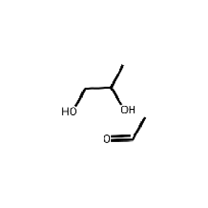 CC(O)CO.CC=O